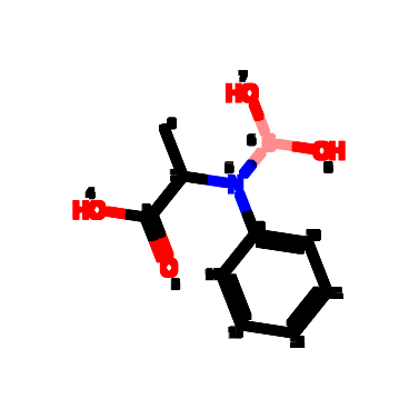 CC(C(=O)O)N(B(O)O)c1ccccc1